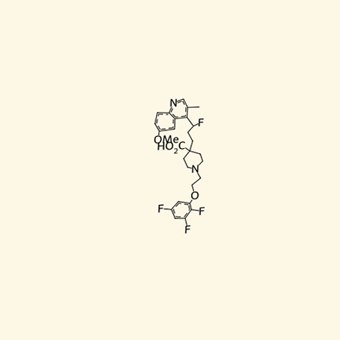 COc1ccc2ncc(C)c(C(F)CCC3(C(=O)O)CCN(CCOc4cc(F)cc(F)c4F)CC3)c2c1